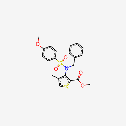 COC(=O)c1scc(C)c1N(Cc1ccccc1)S(=O)(=O)c1ccc(OC)cc1